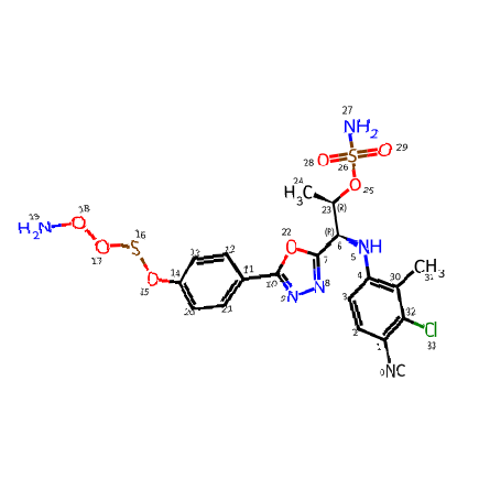 [C-]#[N+]c1ccc(N[C@@H](c2nnc(-c3ccc(OSOON)cc3)o2)[C@@H](C)OS(N)(=O)=O)c(C)c1Cl